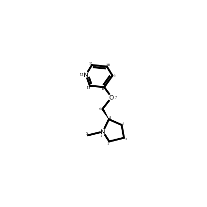 CN1CCC[C@@H]1COc1cccnc1